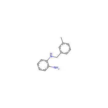 Cc1cccc(CNc2ccccc2N)c1